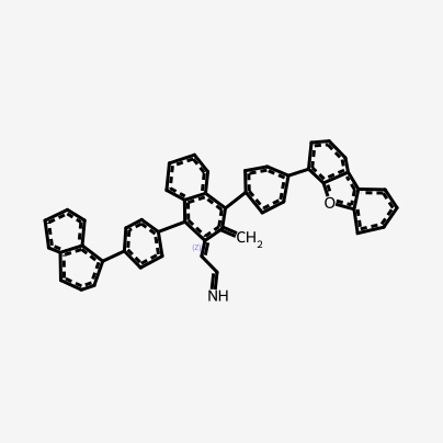 C=c1c(-c2ccc(-c3cccc4c3oc3ccccc34)cc2)c2ccccc2c(-c2ccc(-c3cccc4ccccc34)cc2)/c1=C/C=N